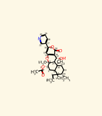 CCC1(C)C2C[C@H](OC(C)=O)[C@@]3(C)Oc4cc(-c5cccnc5)oc(=O)c4[C@H](O)C3[C@@]2(C)CC[C@@H]1C